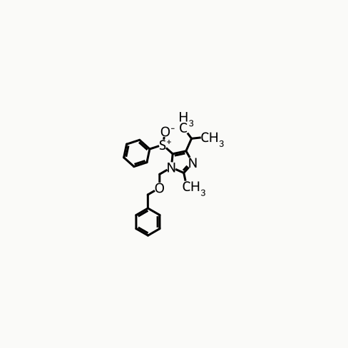 Cc1nc(C(C)C)c([S+]([O-])c2ccccc2)n1COCc1ccccc1